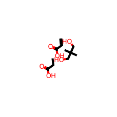 C=CC(=O)O.CC(C)(CO)CO.CCC(=O)O